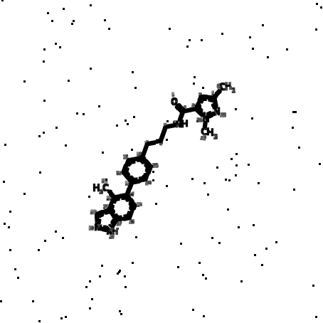 Cc1cc(C(=O)NCCCc2ccc(-c3ccc4[nH]ncc4c3C)cc2)n(C)n1